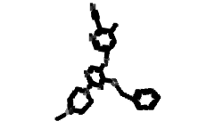 Cc1cc(Sc2cnc(N3CCN(C)CC3)nc2OCc2ccccc2)cnc1C#N